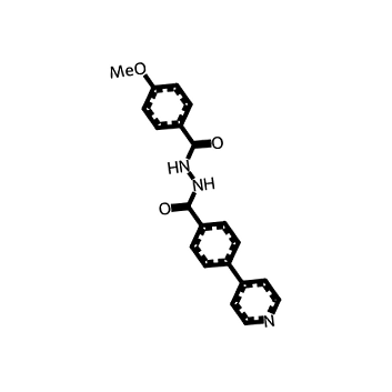 COc1ccc(C(=O)NNC(=O)c2ccc(-c3ccncc3)cc2)cc1